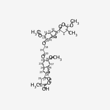 COC(=O)[C@@H](C)CC(=O)c1cc2cc(OC)c(OCCCOc3cc4cc(C(=O)C[C@H](C)C(=O)O)sc4cc3OC)cc2s1